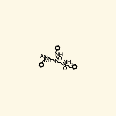 CC(=O)N(CCCCN(CCCN(N)C(=O)CCc1ccccc1)C(=O)CNCc1ccccc1)NCc1ccccc1